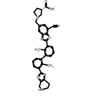 Cc1c(-c2nc3cc(CN4CC[C@H](C(=O)O)C4)cc(C#N)c3o2)cccc1-c1cccc(-c2nc3c(s2)CNCC3)c1C